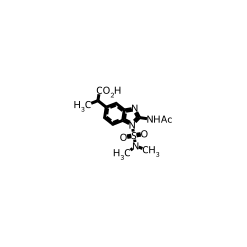 CC(=O)Nc1nc2cc(C(C)C(=O)O)ccc2n1S(=O)(=O)N(C)C